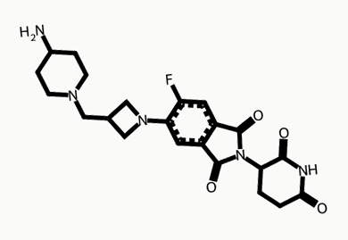 NC1CCN(CC2CN(c3cc4c(cc3F)C(=O)N(C3CCC(=O)NC3=O)C4=O)C2)CC1